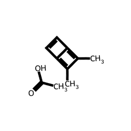 CC(=O)O.Cc1c2ccc-2c1C